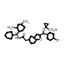 Cc1ccc([C@@H](NC(=O)Cc2ccc3oc(C(OC4(C(=O)O)CC4)c4ccc(Cl)cc4)cc3c2)c2ccccc2)c(C)c1